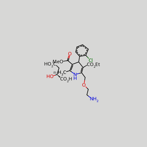 CCOC(=O)C1=C(COCCN)NC(C)=C(C(=O)OC)C1c1ccccc1Cl.O=C(O)C[C@H](O)C(=O)O